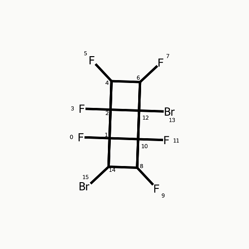 FC12C3(F)C4(F)C5(F)C(F)(C1(F)C35Br)C24Br